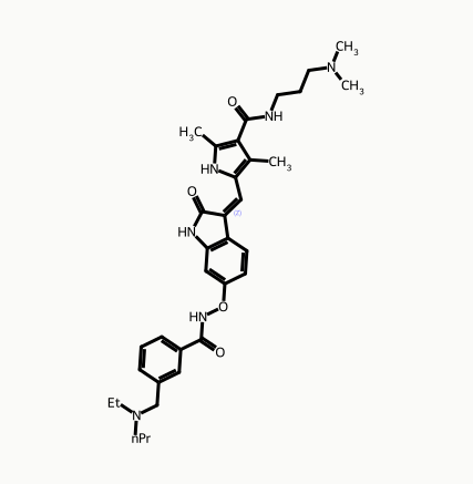 CCCN(CC)Cc1cccc(C(=O)NOc2ccc3c(c2)NC(=O)/C3=C\c2[nH]c(C)c(C(=O)NCCCN(C)C)c2C)c1